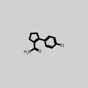 NC(=O)C1=C(c2ccc(Cl)cc2)CCC1